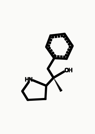 C[C@@](O)(Cc1ccccc1)C1CCCN1